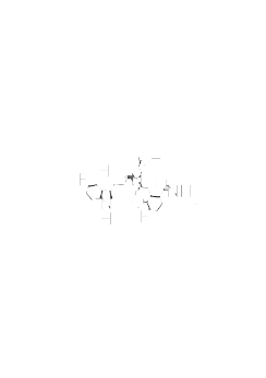 CCCN([C@@H]1COc2c(F)ccc(C(N)=O)c2C1)[C@H](C)CCc1c[nH]c2ccc(F)cc12